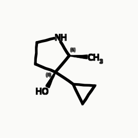 C[C@@H]1NCC[C@@]1(O)C1CC1